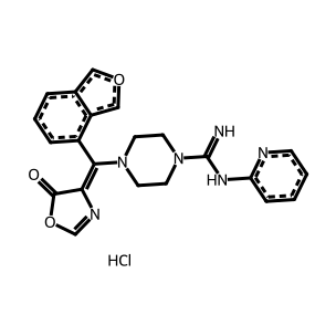 Cl.N=C(Nc1ccccn1)N1CCN(C(=C2N=COC2=O)c2cccc3cocc23)CC1